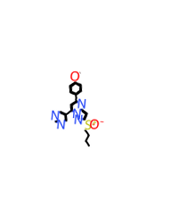 CCCC[S+]([O-])c1cc2nc(-c3ccc(OC)cc3)cc(-c3cncnc3)n2n1